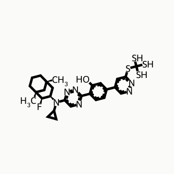 C[C@]12CCC[C@](C)(C1)[C@H](F)[C@H](N(c1cnc(-c3ccc(-c4cnnc(SC(S)(S)S)c4)cc3O)nn1)C1CC1)C2